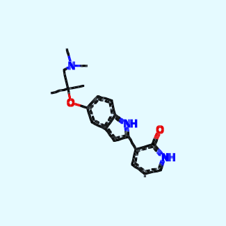 CN(C)CC(C)(C)Oc1ccc2[nH]c(-c3c[c]c[nH]c3=O)cc2c1